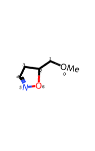 COCC1C[C]=NO1